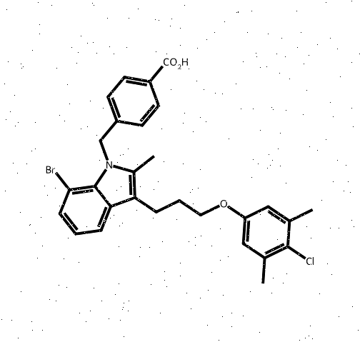 Cc1cc(OCCCc2c(C)n(Cc3ccc(C(=O)O)cc3)c3c(Br)cccc23)cc(C)c1Cl